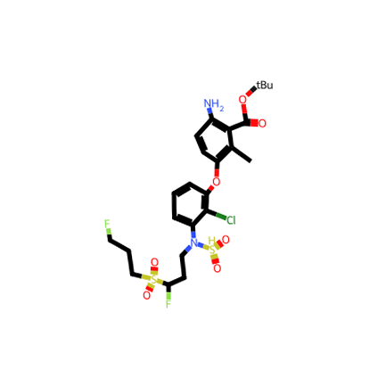 Cc1c(Oc2cccc(N(CCC(F)S(=O)(=O)CCCF)[SH](=O)=O)c2Cl)ccc(N)c1C(=O)OC(C)(C)C